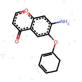 Nc1cc2occc(=O)c2cc1OC1=CC=CCC1